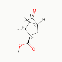 COC(=O)[C@@H]1C[C@@H]2C(=O)C[C@@]1(C)C2(C)C